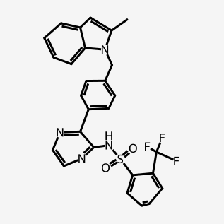 Cc1cc2ccccc2n1Cc1ccc(-c2nccnc2NS(=O)(=O)c2ccccc2C(F)(F)F)cc1